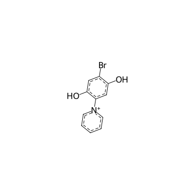 Oc1cc(-[n+]2ccccc2)c(O)cc1Br